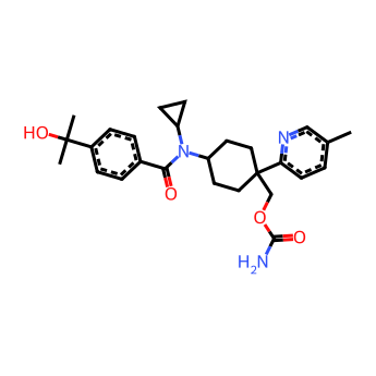 Cc1ccc(C2(COC(N)=O)CCC(N(C(=O)c3ccc(C(C)(C)O)cc3)C3CC3)CC2)nc1